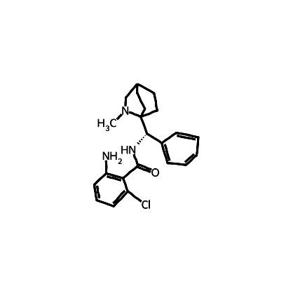 CN1CC2CCC1([C@@H](NC(=O)c1c(N)cccc1Cl)c1ccccc1)CC2